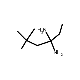 CCC(N)(N)CC(C)(C)C